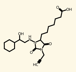 C#CCN1C(=O)C(CCCCCCC(=O)O)N(NCC(O)C2CCCCC2)C1=O